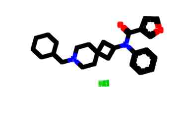 Cl.O=C(c1ccoc1)N(c1ccccc1)C1CC2(CCN(CC3CCCCC3)CC2)C1